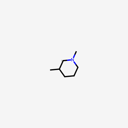 CC1[C]N(C)CCC1